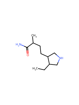 CCC1CNCC1CCC(C)C(N)=O